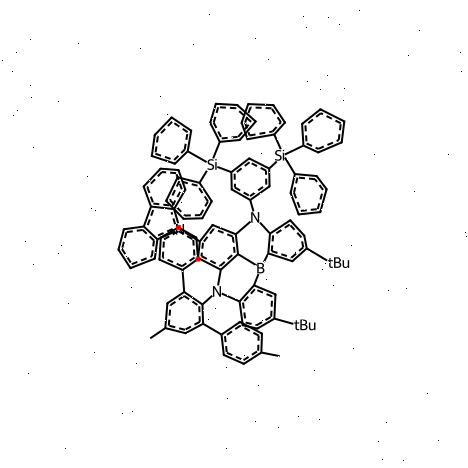 Cc1ccc(-c2cc(C)cc(-c3ccccc3)c2N2c3ccc(C(C)(C)C)cc3B3c4cc(C(C)(C)C)ccc4N(c4cc([Si](c5ccccc5)(c5ccccc5)c5ccccc5)cc([Si](c5ccccc5)(c5ccccc5)c5ccccc5)c4)c4cc(-n5c6ccccc6c6ccccc65)cc2c43)cc1